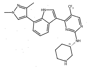 Cc1nn(C)cc1-c1cccc2c(-c3nc(N[C@H]4CCCNC4)ncc3C(F)(F)F)c[nH]c12